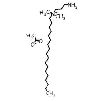 CC(=O)[O-].CCCCCCCCCCCCCCCCCC[N+](C)(C)CCCN